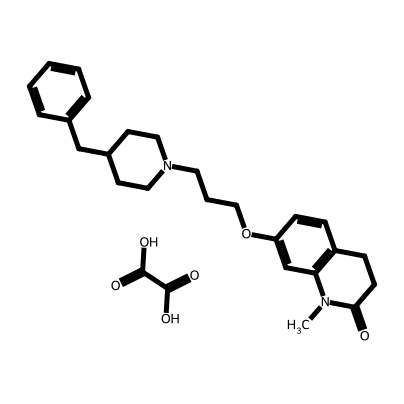 CN1C(=O)CCc2ccc(OCCCN3CCC(Cc4ccccc4)CC3)cc21.O=C(O)C(=O)O